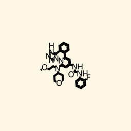 COCCN(c1cc(NC(=O)Nc2ccccc2F)cc(-c2ccccc2-c2nnn[nH]2)n1)C1CCOCC1